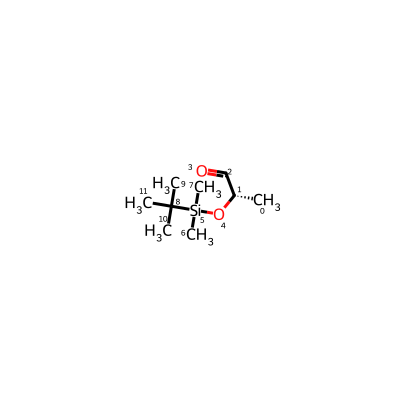 C[C@@H]([C]=O)O[Si](C)(C)C(C)(C)C